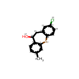 Cc1ccc2c(c1)Sc1ccc(Cl)cc1CC2O